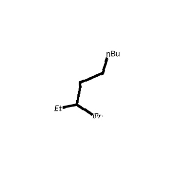 CCCCCCC(CC)[C](C)C